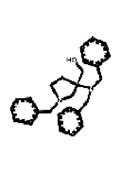 OC[C@]1(N(Cc2ccccc2)Cc2ccccc2)CCN(Cc2ccccc2)C1